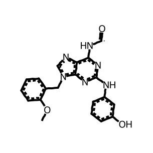 COc1ccccc1Cn1cnc2c(N[C]=O)nc(Nc3cccc(O)c3)nc21